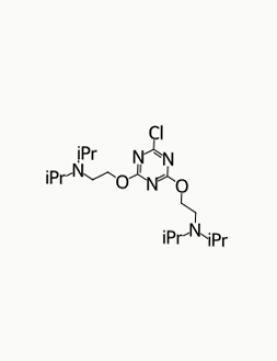 CC(C)N(CCOc1nc(Cl)nc(OCCN(C(C)C)C(C)C)n1)C(C)C